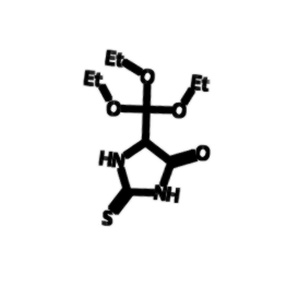 CCOC(OCC)(OCC)C1NC(=S)NC1=O